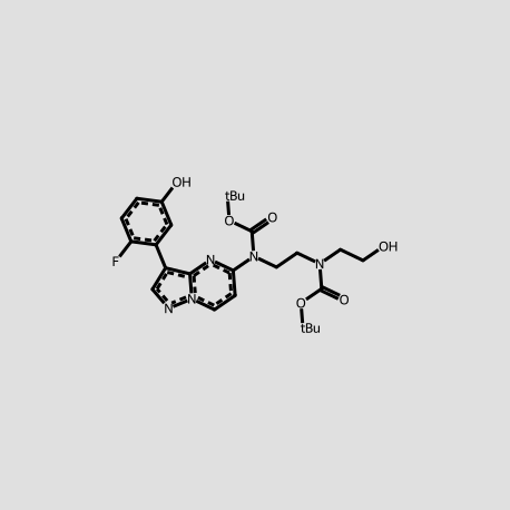 CC(C)(C)OC(=O)N(CCO)CCN(C(=O)OC(C)(C)C)c1ccn2ncc(-c3cc(O)ccc3F)c2n1